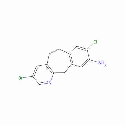 Nc1cc2c(cc1Cl)CCc1cc(Br)cnc1C2